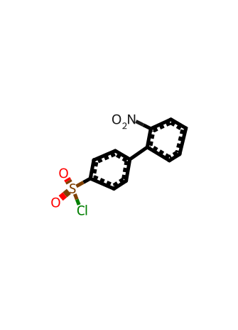 O=[N+]([O-])c1ccccc1-c1ccc(S(=O)(=O)Cl)cc1